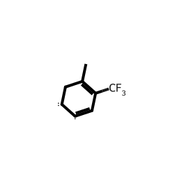 CC1=C(C(F)(F)F)C=[C][C]C1